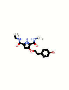 CCNC(=O)c1cc(OCCc2ccc(Br)cc2)c(C(=O)NC)[nH]1